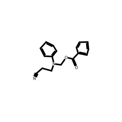 N#CCCN(COC(=O)c1ccccc1)c1ccccc1